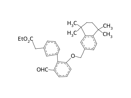 CCOC(=O)Cc1cccc(-c2c(C=O)cccc2OCc2ccc3c(c2)C(C)(C)CCC3(C)C)c1